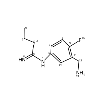 CCSC(=N)Nc1ccc(F)c(CN)c1